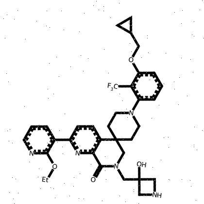 CCOc1ncccc1-c1ccc2c(n1)C(=O)N(CC1(O)CNC1)CC21CCN(c2cccc(OCC3CC3)c2C(F)(F)F)CC1